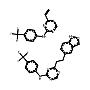 C=Cc1ncnc(Nc2ccc(C(F)(F)F)cc2)n1.FC(F)(F)c1ccc(Nc2ncnc(CCc3ccc4[nH]ncc4c3)n2)cc1